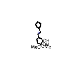 COC1(OC)C=CC(/C=C/c2ccccc2)=CC1(O)O